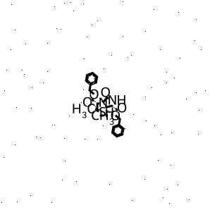 CC1(C)S[C@@H]2[C@@H](C(=O)OCc3ccccc3)NC(=O)N2[C@H]1C(=O)OCc1ccccc1